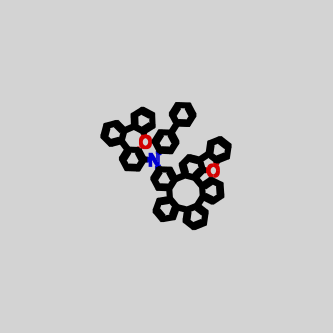 c1ccc(-c2ccc(N(c3ccc4c5ccccc5c5ccccc5c5ccccc5c5c(ccc6c7ccccc7oc65)c4c3)c3cccc4c3Oc3ccccc3-c3ccccc3-4)cc2)cc1